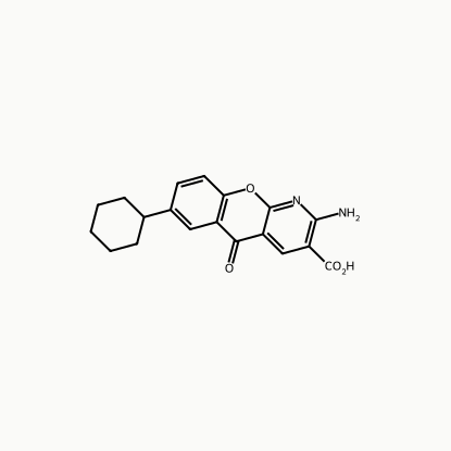 Nc1nc2oc3ccc(C4CCCCC4)cc3c(=O)c2cc1C(=O)O